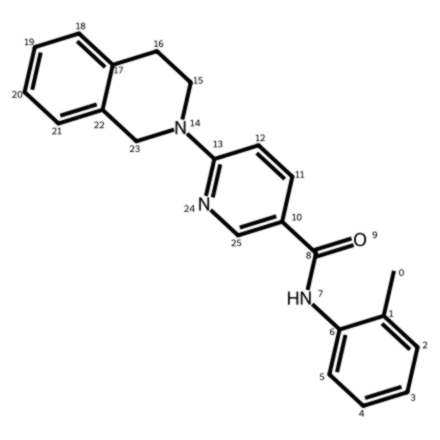 Cc1ccccc1NC(=O)c1ccc(N2CCc3ccccc3C2)nc1